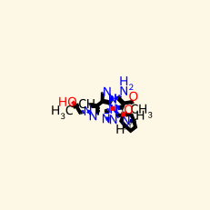 CC(=O)c1c([C@@H]2C[C@H]3CC[C@@H](C2)N3C(=O)c2nnc[nH]2)nc2c(-c3cnn(CC(C)(C)O)c3)cnn2c1N